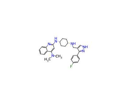 CN(C)c1cc(N[C@H]2CC[C@@H](NCc3c[nH]nc3-c3ccc(F)cc3)CC2)nc2ccccc12